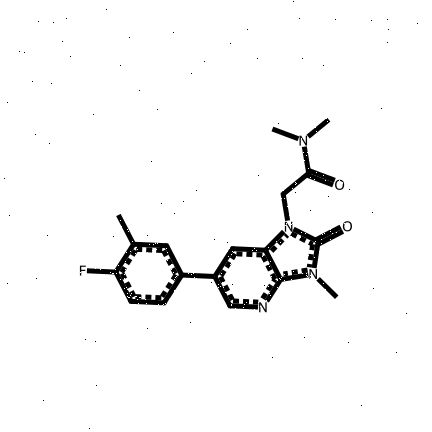 Cc1cc(-c2cnc3c(c2)n(CC(=O)N(C)C)c(=O)n3C)ccc1F